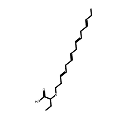 CCC=CCC=CCC=CCC=CCCSC(CC)C(=O)O